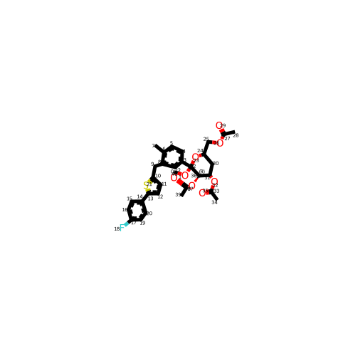 COC1(c2ccc(C)c(Cc3ccc(-c4ccc(F)cc4)s3)c2)OC(COC(C)=O)CC(OC(C)=O)[C@H]1OC(C)=O